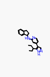 CCC(CC)c1[nH]ncc1-c1ccnc(NC2CCc3ccccc32)c1